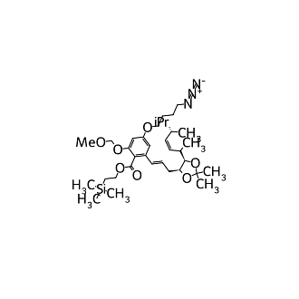 COCOc1cc(OCCCCN=[N+]=[N-])cc(/C=C/C[C@@H]2OC(C)(C)O[C@@H]2C(C)/C=C\[C@@H](C)C(C)C)c1C(=O)OCC[Si](C)(C)C